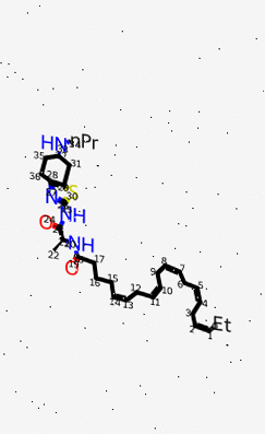 CC/C=C\C/C=C\C/C=C\C/C=C\C/C=C\CCCC(=O)N[C@@H](C)C(=O)Nc1nc2c(s1)C[C@H](NCCC)CC2